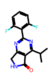 CC(C)c1nc(-c2c(F)cccc2F)nc2c1C(=O)NC2